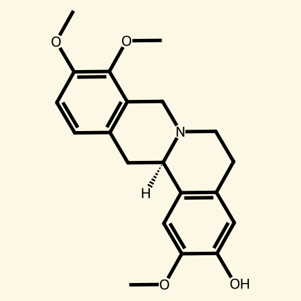 COc1cc2c(cc1O)CCN1Cc3c(ccc(OC)c3OC)C[C@H]21